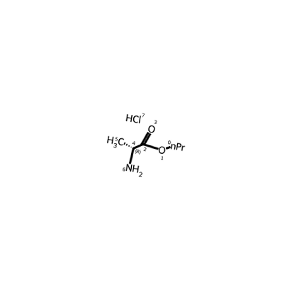 CCCOC(=O)[C@@H](C)N.Cl